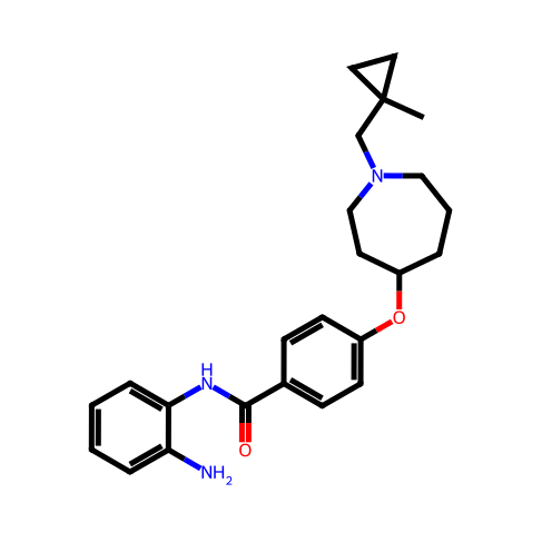 CC1(CN2CCCC(Oc3ccc(C(=O)Nc4ccccc4N)cc3)CC2)CC1